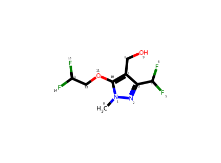 Cn1nc(C(F)F)c(CO)c1OCC(F)F